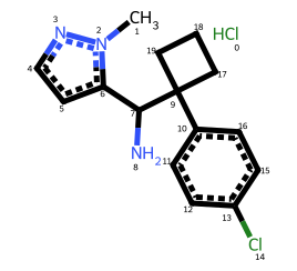 Cl.Cn1nccc1C(N)C1(c2ccc(Cl)cc2)CCC1